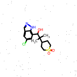 CC(C)(C1CCS(=O)(=O)CC1)C(O)c1cc(Cl)cc2cn[nH]c12